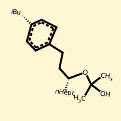 CCCCCCC[C@H](CCc1ccc([C@@H](C)CC)cc1)OC(C)(C)O